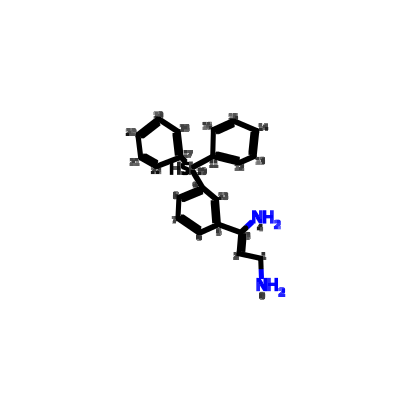 NC/C=C(\N)c1cccc([SiH](c2ccccc2)c2ccccc2)c1